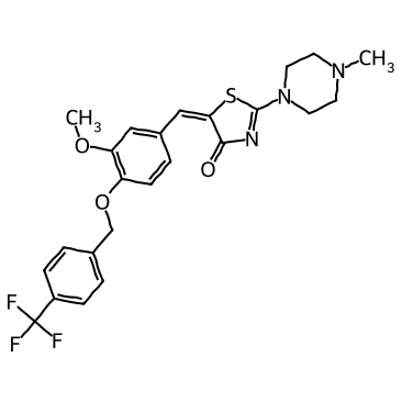 COc1cc(/C=C2/SC(N3CCN(C)CC3)=NC2=O)ccc1OCc1ccc(C(F)(F)F)cc1